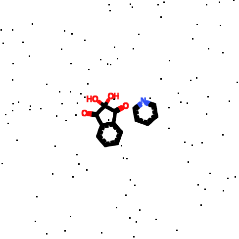 O=C1c2ccccc2C(=O)C1(O)O.c1ccncc1